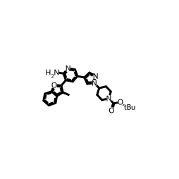 Cc1c(-c2cc(-c3cnn(C4CCN(C(=O)OC(C)(C)C)CC4)c3)cnc2N)oc2ccccc12